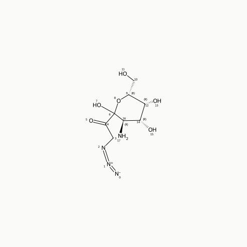 [N-]=[N+]=NCC(=O)C1(O)O[C@H](CO)[C@H](O)[C@H](O)[C@H]1N